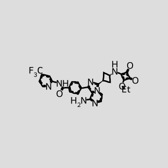 CCOc1c(N[C@H]2C[C@H](c3nc(-c4ccc(C(=O)Nc5cc(C(F)(F)F)ccn5)cc4)c4c(N)nccn43)C2)c(=O)c1=O